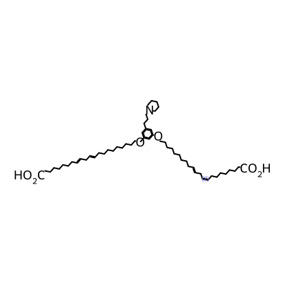 O=C(O)CCCCCCCC=CCC=CCCCCCCCCCOc1cc(CCCN2CCCCC2)cc(OCCCCCCCCCC=CC/C=C\CCCCCCCC(=O)O)c1